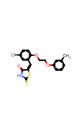 Cc1cccc(OCCOc2ccc(Cl)cc2C=C2SC(=S)NC2=O)c1